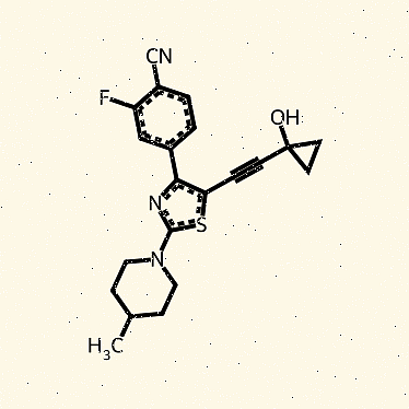 CC1CCN(c2nc(-c3ccc(C#N)c(F)c3)c(C#CC3(O)CC3)s2)CC1